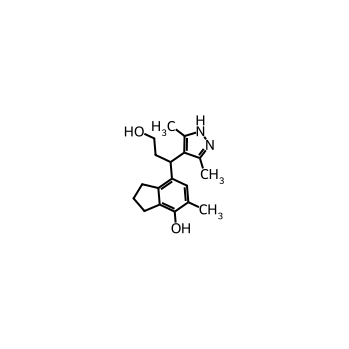 Cc1cc(C(CCO)c2c(C)n[nH]c2C)c2c(c1O)CCC2